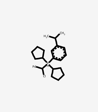 CC(C)c1cccc([PH]([CH](Cl)[Pd])(C2CCCC2)C2CCCC2)c1